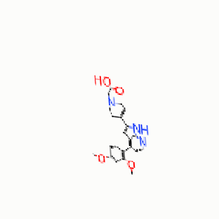 COc1ccc(-c2ccnc3[nH]c(C4=CCN(CC(=O)O)CC4)cc23)c(OC)c1